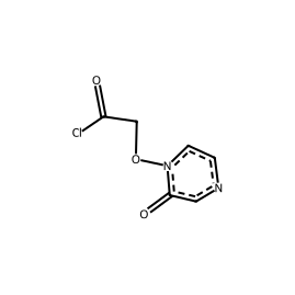 O=C(Cl)COn1ccncc1=O